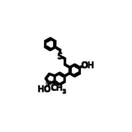 C[C@]12CCC(c3ccc(O)cc3CCSCc3ccccc3)=CC1CC[C@@H]2O